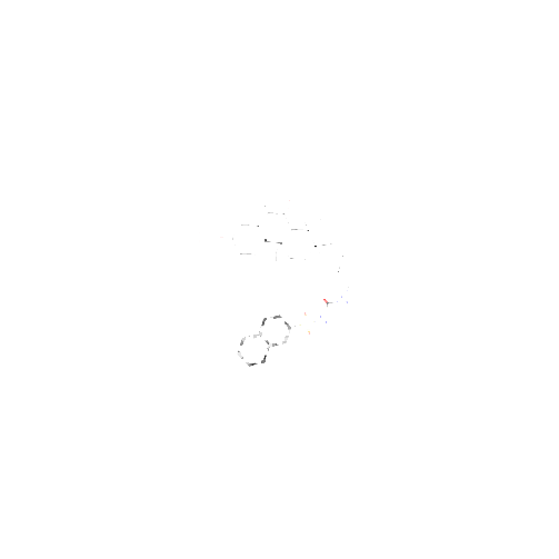 CC[C@@H]1C2C[C@H](O)CCC2(C)[C@H]2CCC3(C)[C@@H]([C@H](C)CCN(C)C(=O)NS(=O)(=O)c4ccc5ccccc5c4)CC[C@H]3[C@@H]2[C@@H]1O